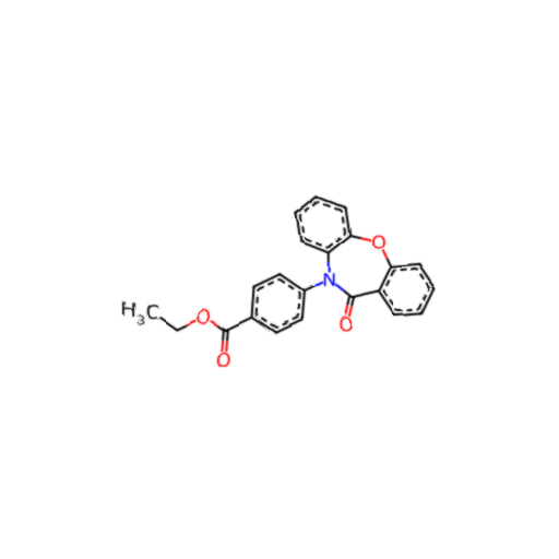 CCOC(=O)c1ccc(N2C(=O)c3ccccc3Oc3ccccc32)cc1